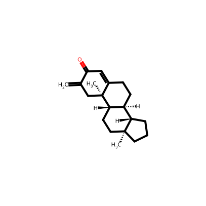 C=C1C[C@@]2(C)C(=CC1=O)CC[C@H]1[C@@H]3CCC[C@@]3(C)CC[C@@H]12